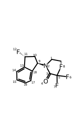 CCN(C(=O)C(F)(F)F)[C@@H]1C[C@@H](F)c2ccccc21